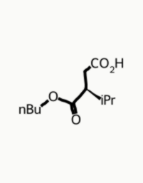 CCCCOC(=O)[C@@H](CC(=O)O)C(C)C